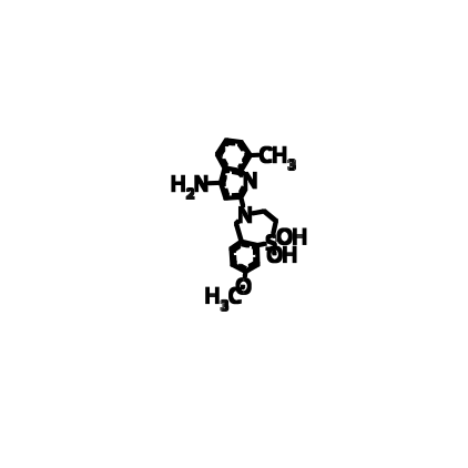 COc1ccc2c(c1)S(O)(O)CCN(c1cc(N)c3cccc(C)c3n1)C2